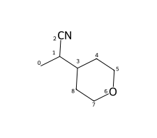 CC(C#N)C1CCOCC1